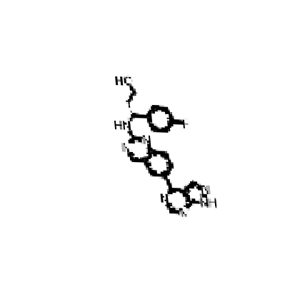 OCC[C@@H](Nc1ncc2cc(-c3ncnc4[nH]ncc34)ccc2n1)c1ccc(F)cc1